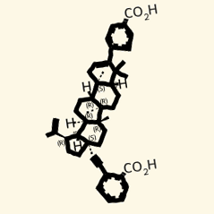 C=C(C)[C@@H]1CC[C@]2(C#Cc3ccccc3C(=O)O)CC[C@]3(C)[C@H](CC[C@@H]4[C@@]5(C)CC=C(c6ccc(C(=O)O)cc6)C(C)(C)[C@@H]5CC[C@]43C)[C@@H]12